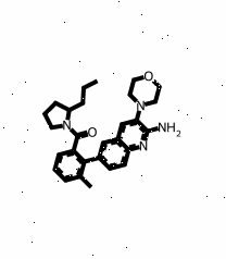 CCCC1CCCN1C(=O)c1cccc(C)c1-c1ccc2nc(N)c(N3CCOCC3)cc2c1